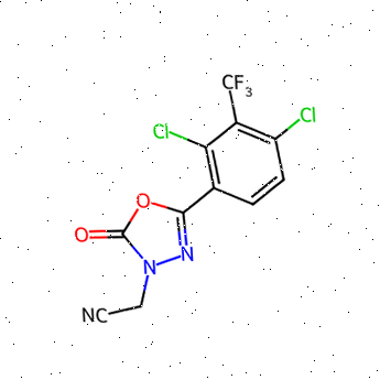 N#CCn1nc(-c2ccc(Cl)c(C(F)(F)F)c2Cl)oc1=O